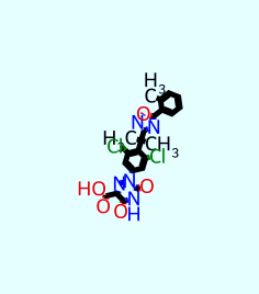 Cc1ccccc1-c1nc(C(C)(C)c2c(Cl)cc(-n3nc(C(=O)O)c(=O)[nH]c3=O)cc2Cl)no1